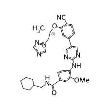 COc1cc(C(=O)NCC2CCCCC2)ccc1Nc1ncc(-c2ccc(C#N)c(O[C@@H](C)Cn3cncn3)c2)cn1